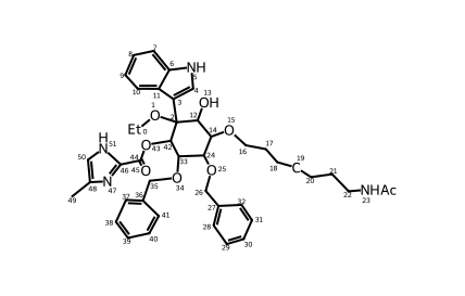 CCOC1(c2c[nH]c3ccccc23)C(O)C(OCCCCCCCNC(C)=O)C(OCc2ccccc2)C(OCc2ccccc2)C1OC(=O)c1nc(C)c[nH]1